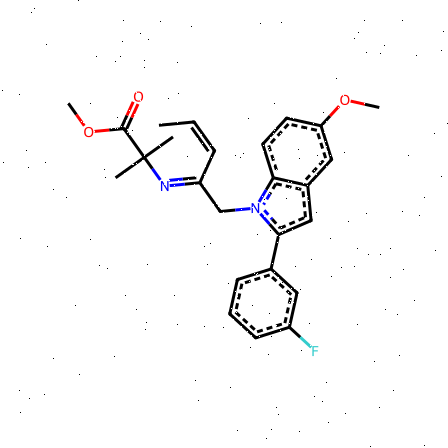 C/C=C\C(Cn1c(-c2cccc(F)c2)cc2cc(OC)ccc21)=N/C(C)(C)C(=O)OC